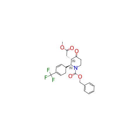 COC(=O)C[C@@H]1C(=O)CCN(C(=O)OCc2ccccc2)[C@H]1C1C=CC(C(F)(F)F)=CC1